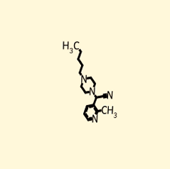 CCCCCN1CCN(C(C#N)c2cccnc2C)CC1